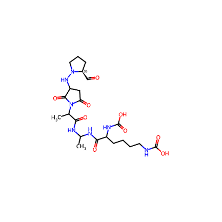 CC(NC(=O)C(CCCCNC(=O)O)NC(=O)O)NC(=O)C(C)N1C(=O)CC(NN2CCC[C@H]2C=O)C1=O